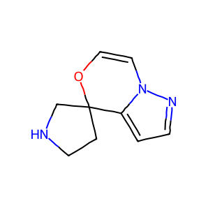 C1=Cn2nccc2C2(CCNC2)O1